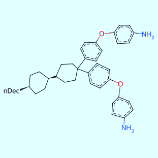 CCCCCCCCCC[C@H]1CC[C@@H](C2CCC(c3ccc(Oc4ccc(N)cc4)cc3)(c3ccc(Oc4ccc(N)cc4)cc3)CC2)CC1